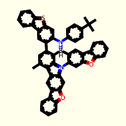 Cc1cc(-c2cc3c(cc2Nc2ccc(C(C)(C)C)cc2)sc2ccccc23)c2c3c1c1cc4c(cc1n3-c1cc3oc5ccccc5c3cc1B2)oc1ccccc14